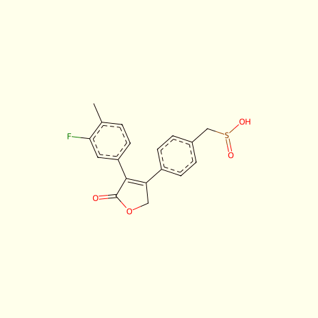 Cc1ccc(C2=C(c3ccc(CS(=O)O)cc3)COC2=O)cc1F